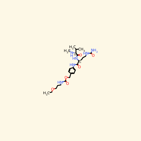 CCOCCCNC(=O)OCc1ccc(NC(=O)[C@H](CCCNC(N)=O)NC(=O)[C@@H](NC)C(C)C)cc1